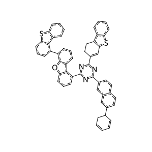 C1=CCC(c2ccc3ccc(-c4nc(C5=Cc6sc7ccccc7c6CC5)nc(-c5cccc6oc7c(-c8cccc9sc%10ccccc%10c89)cccc7c56)n4)cc3c2)C=C1